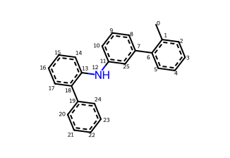 Cc1ccccc1-c1cccc(Nc2ccccc2-c2ccccc2)c1